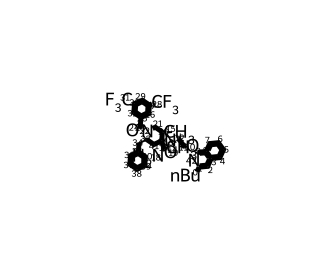 CCCCc1cc2ccccc2c(OCC[N+](C)(C)[C@@]2(C(N)=O)CCN(C(=O)c3cc(C(F)(F)F)cc(C(F)(F)F)c3)[C@H](Cc3ccccc3)C2)n1